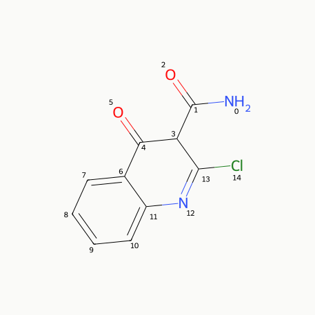 NC(=O)C1C(=O)c2ccccc2N=C1Cl